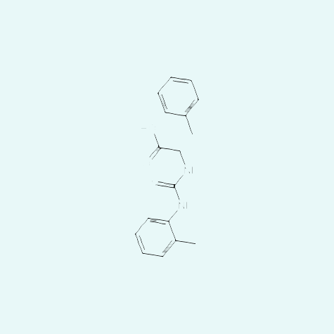 Cc1ccccc1NC(=S)N[C@@H](Cc1ccccc1)C(=O)O